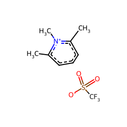 Cc1cccc(C)[n+]1C.O=S(=O)([O-])C(F)(F)F